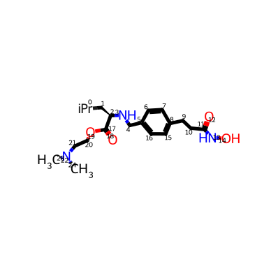 CC(C)C[C@@H](NCc1ccc(CCC(=O)NO)cc1)C(=O)OCCN(C)C